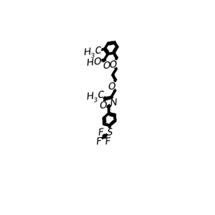 Cc1cccc(COCCCOCc2nc(-c3ccc(SC(F)(F)F)cc3)oc2C)c1C(=O)O